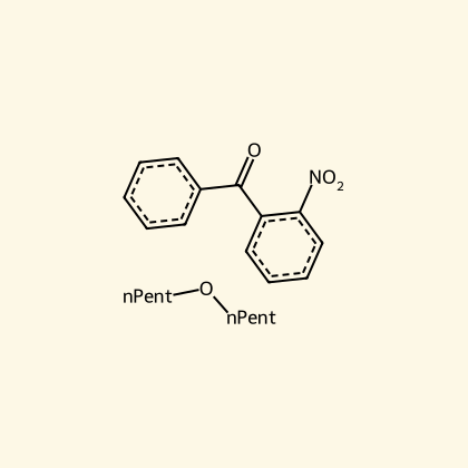 CCCCCOCCCCC.O=C(c1ccccc1)c1ccccc1[N+](=O)[O-]